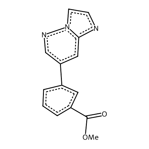 COC(=O)c1cccc(-c2cnn3ccnc3c2)c1